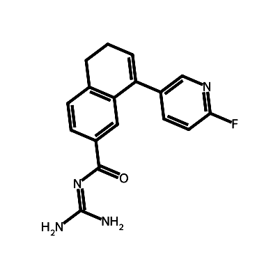 NC(N)=NC(=O)c1ccc2c(c1)C(c1ccc(F)nc1)=CCC2